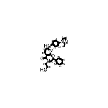 Cc1nccn1-c1ccc(Nc2ccc3c(n2)OC(c2ccccc2)CN(CCO)C3=O)cc1